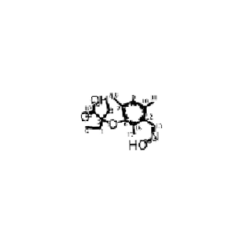 CCC(CC)(Oc1c(C)cc(C)c(/C=N\O)c1C)C(=O)O